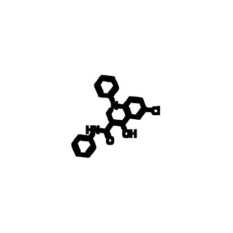 O=C(Nc1ccccc1)C1=C(O)c2cc(Cl)ccc2N(c2ccccc2)C1